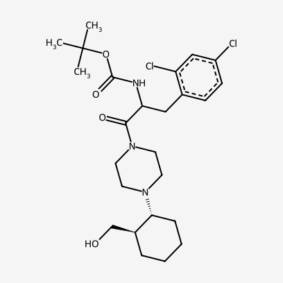 CC(C)(C)OC(=O)NC(Cc1ccc(Cl)cc1Cl)C(=O)N1CCN([C@@H]2CCCC[C@H]2CO)CC1